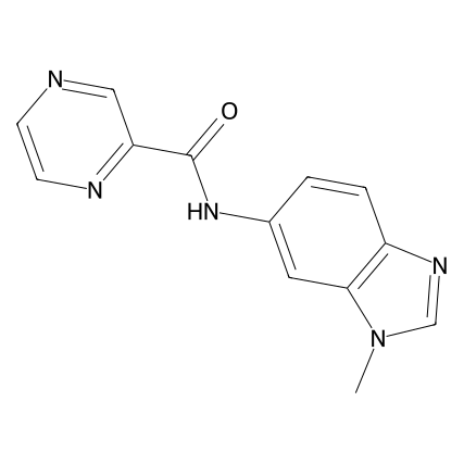 Cn1cnc2ccc(NC(=O)c3cnccn3)cc21